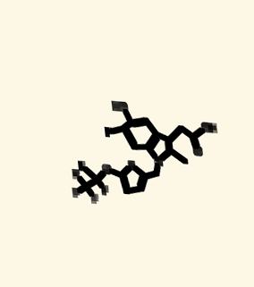 Cc1c(CC(=O)O)c2cc(O)c(F)cc2n1Cc1ccc(OC(F)(F)C(F)(F)F)s1